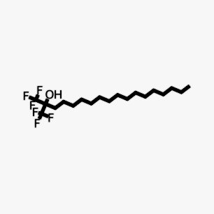 CCCCCCCCCCCCCCCCC(O)(C(F)(F)F)C(F)(F)F